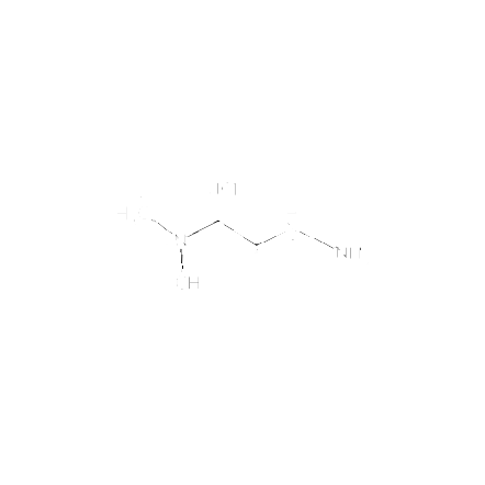 CN(C)CCNN.Cl